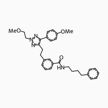 COCCn1nc(CCc2cccc(C(=O)NCCCCc3ccccc3)c2)c(-c2ccc(OC)cc2)n1